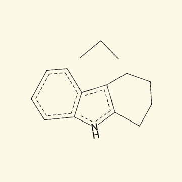 CCC.c1ccc2c3c([nH]c2c1)CCCC3